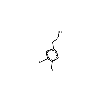 CC[CH]OCc1ccc(Cl)c(Cl)c1